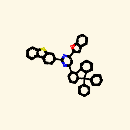 c1ccc(C2(c3ccccc3)c3ccccc3-c3c(-c4cc(-c5cc6ccccc6o5)nc(-c5ccc6c(c5)sc5ccccc56)n4)cccc32)cc1